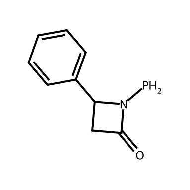 O=C1CC(c2ccccc2)N1P